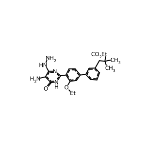 CCOC(=O)C(C)(C)Cc1cccc(-c2ccc(-c3nc(NN)c(N)c(=O)[nH]3)c(OCC)c2)c1